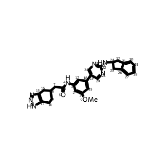 COc1cc(NC(=O)CC2CCc3[nH]nnc3C2)cc(-c2cnc(NC3Cc4ccccc4C3)nc2)c1